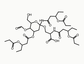 CCC(=O)OC(CC)CC(=O)NC(COC1(NC(=O)CC(CC)OC(=O)CC)CC(OC(=O)CC(CC)OC(=O)CC)C(OC=O)C(CO)O1)C(=O)O